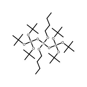 CCCC[O][Ti]([O]CCCC)([O][Si](OC(C)(C)C)(OC(C)(C)C)OC(C)(C)C)[O][Si](OC(C)(C)C)(OC(C)(C)C)OC(C)(C)C